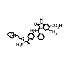 Cc1cc2c(cc1C(=O)O)NC(=O)/C2=C(\Nc1ccc(C(=O)N(C)OCCN2CC3CC(C2)N3)cc1)c1ccccc1